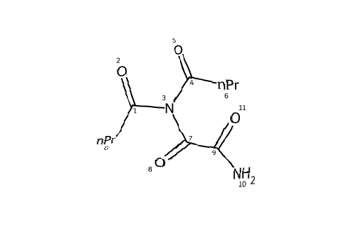 CCCC(=O)N(C(=O)CCC)C(=O)C(N)=O